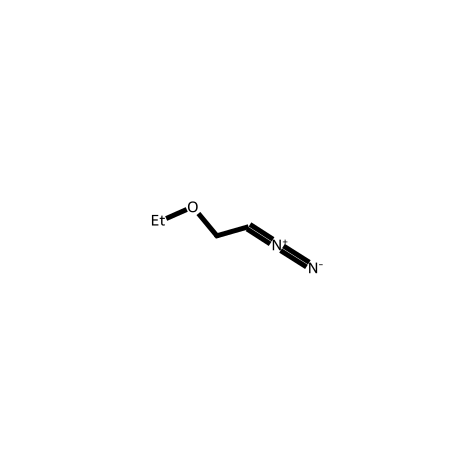 CCOCC=[N+]=[N-]